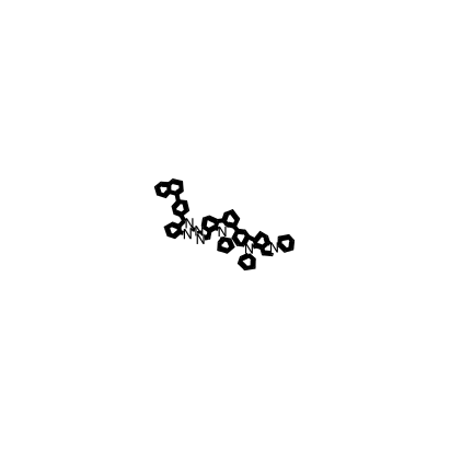 c1ccc(-n2ccc3c2ccc2c4cc(-c5cccc6c7ccc8c(cnn8-c8nc(-c9ccc(-c%10cccc%11ccccc%10%11)cc9)c9ccccc9n8)c7n(-c7ccccc7)c56)ccc4n(-c4ccccc4)c23)cc1